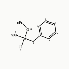 CCCC[Si](Cl)(Cc1ccccc1)OCCC